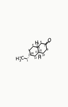 CC[C@@H]1CC[C@H]2CC(=O)CC[C@H]2C1